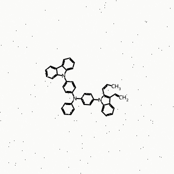 C=Cc1c(/C=C\C)n(-c2ccc(N(c3ccccc3)c3ccc(-n4c5ccccc5c5ccccc54)cc3)cc2)c2ccccc12